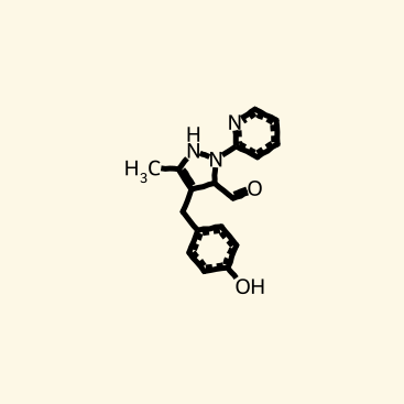 CC1=C(Cc2ccc(O)cc2)C(C=O)N(c2ccccn2)N1